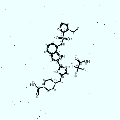 CCc1ccsc1S(=O)(=O)Nc1cccc2cc(-c3ncc(CN4CCN(C(=O)O)CC4)s3)[nH]c12.O=C(O)C(F)(F)F